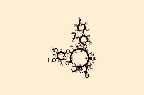 CC[C@H]1OC(=O)[C@H](C)[C@@H](O[C@H]2C[C@@](C)(OC)[C@@H](O)[C@H](C)O2)[C@H](C)[C@@H](O[C@@H]2O[C@H](C)C[C@@H](N3CCN(C)CC3)[C@@H]2N(C)C)[C@@](C)(OC)C[C@@H](C)C(=O)[C@H](C)[C@H]2NC(=O)O[C@@]21C